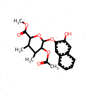 COC(=O)C1OC(Oc2cc3ccccc3cc2O)C(OC(C)=O)C(C)C1C